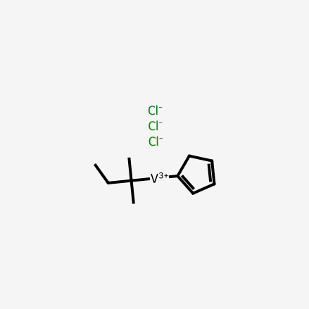 CC[C](C)(C)[V+3][C]1=CC=CC1.[Cl-].[Cl-].[Cl-]